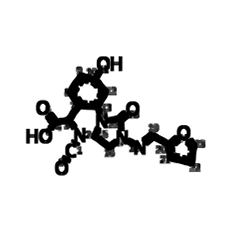 O=C=NC(C(=O)O)c1ccc(O)cc1N1CCN(N=Cc2ccco2)C1=O